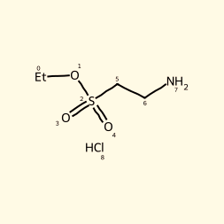 CCOS(=O)(=O)CCN.Cl